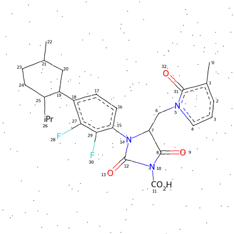 Cc1cccn(CC2C(=O)N(C(=O)O)C(=O)N2c2ccc(C3CC(C)CCC3C(C)C)c(F)c2F)c1=O